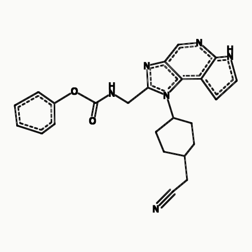 N#CCC1CCC(n2c(CNC(=O)Oc3ccccc3)nc3cnc4[nH]ccc4c32)CC1